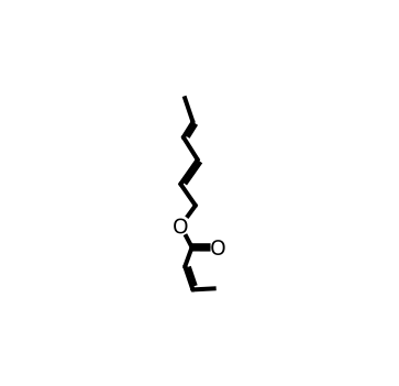 C/C=C\C(=O)OC/C=C/C=C/C